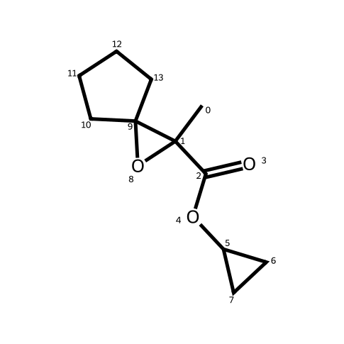 CC1(C(=O)OC2CC2)OC12CCCC2